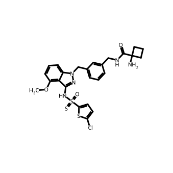 COc1cccc2c1c(NS(=O)(=S)c1ccc(Cl)s1)nn2Cc1cccc(CNC(=O)C2(N)CCC2)c1